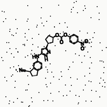 N#CC1CCc2ccc(Nc3cc([C@H]4CC[C@@H](OC(=O)Oc5ccc([N+](=O)[O-])cc5)C4)n[nH]3)cc21